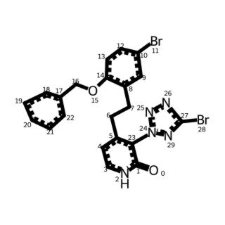 O=c1[nH]ccc(CCc2cc(Br)ccc2OCc2ccccc2)c1-n1nnc(Br)n1